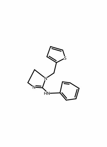 c1ccc(NC2=NCCN2Cc2cccs2)cc1